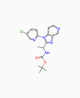 CC(NC(=O)OC(C)(C)C)c1nc2cnccc2n1-c1ccc(Cl)cn1